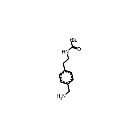 CC(C)(C)C(=O)NCCc1ccc(CN)cc1